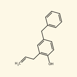 C=CCc1cc(Cc2ccccc2)ccc1O